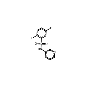 O=S(=O)(Nc1cccnc1)c1cc(F)ccc1F